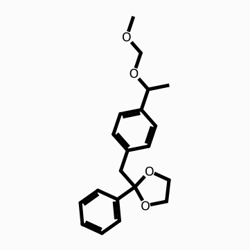 COCOC(C)c1ccc(CC2(c3ccccc3)OCCO2)cc1